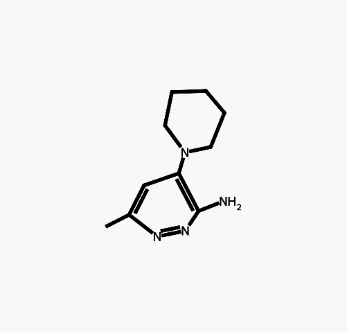 Cc1cc(N2CCCCC2)c(N)nn1